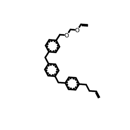 C=CCCc1ccc(Cc2ccc(Cc3ccc(COCOC=C)cc3)cc2)cc1